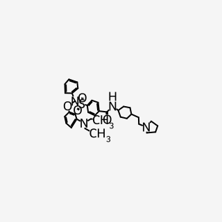 CCN(CC)c1cccc(ON(c2ccccc2)S(=O)(=O)c2ccc(C(=O)NC3CCC(CCN4CCCC4)CC3)cc2)c1